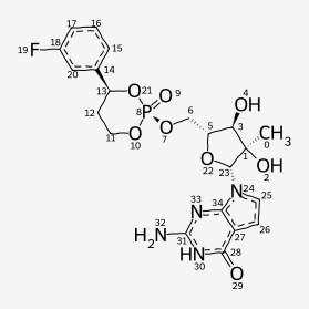 C[C@@]1(O)[C@H](O)[C@@H](CO[P@@]2(=O)OCC[C@@H](c3cccc(F)c3)O2)O[C@H]1n1ccc2c(=O)[nH]c(N)nc21